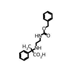 CC(NCCNC(=O)OCc1ccccc1)(C(=O)O)c1ccccc1